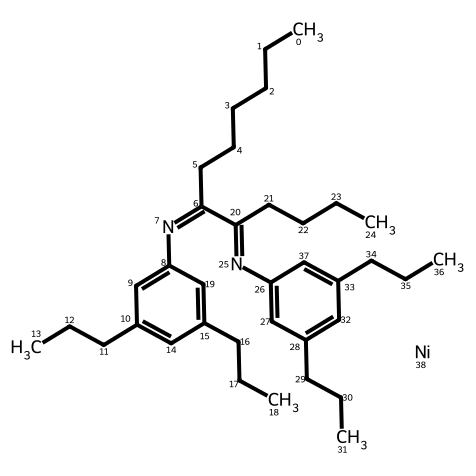 CCCCCCC(=Nc1cc(CCC)cc(CCC)c1)C(CCCC)=Nc1cc(CCC)cc(CCC)c1.[Ni]